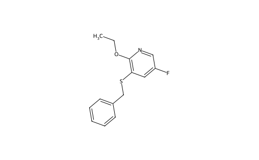 CCOc1ncc(F)cc1SCc1ccccc1